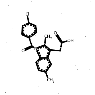 Cc1ccc2c(c1)c(CC(=O)O)c(C)n2C(=O)c1ccc(Cl)cc1